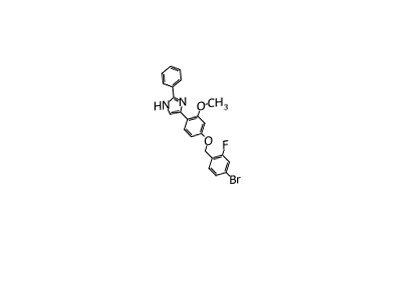 COc1cc(OCc2ccc(Br)cc2F)ccc1-c1c[nH]c(-c2ccccc2)n1